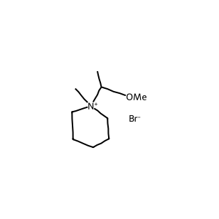 COC(C)[N+]1(C)CCCCC1.[Br-]